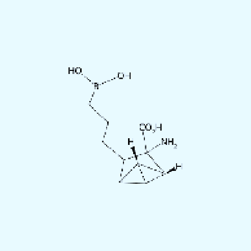 NC1(C(=O)O)C(CCCB(O)O)C2C3[C@H]2[C@@H]31